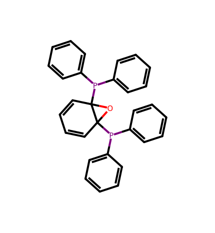 C1=CC2(P(c3ccccc3)c3ccccc3)OC2(P(c2ccccc2)c2ccccc2)C=C1